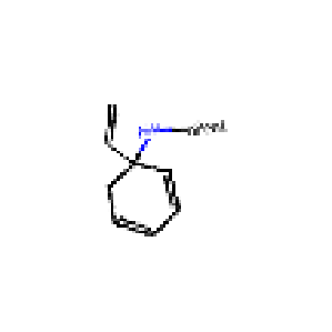 C=CC1(NCCCCC)C=CC=CC1